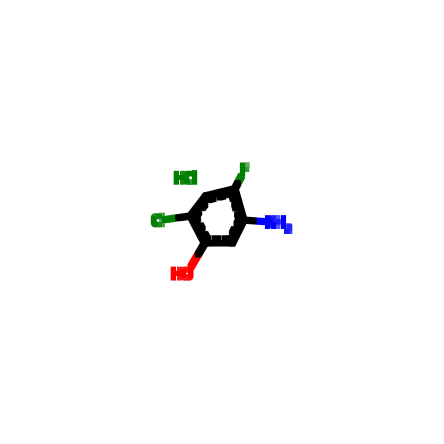 Cl.Nc1cc(O)c(Cl)cc1F